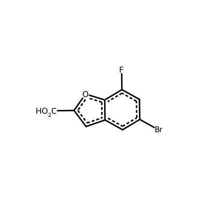 O=C(O)c1cc2cc(Br)cc(F)c2o1